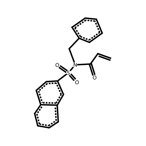 C=CC(=O)N(Cc1ccccc1)S(=O)(=O)c1ccc2ccccc2c1